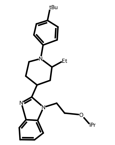 CCC1CC(c2nc3ccccc3n2CCOC(C)C)CCN1c1ccc(C(C)(C)C)cc1